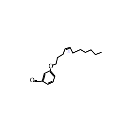 CCCCCC/C=C\CCCOc1cccc(C=O)c1